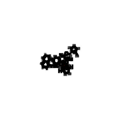 CCCCc1cccc2cccc(N3CCc4c(nc(OC[C@@H]5CCCN5C)nc4N4C[C@H]5CC[C@@H](C4)N5C(=O)OC(C)(C)C)C3)c12